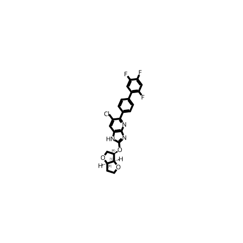 Fc1cc(F)c(-c2ccc(-c3nc4nc(O[C@@H]5CO[C@@H]6CCO[C@@H]65)[nH]c4cc3Cl)cc2)cc1F